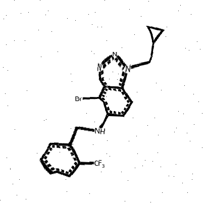 FC(F)(F)c1ccccc1CNc1ccc2c(nnn2CC2CC2)c1Br